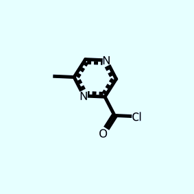 Cc1cncc(C(=O)Cl)n1